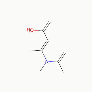 C=C(O)/C=C(\C)N(C)C(=C)C